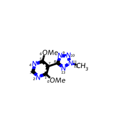 COc1ncnc(OC)c1-c1nnn(C)n1